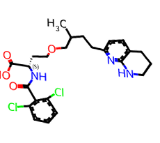 CC(CCc1ccc2c(n1)NCCC2)COCC[C@H](NC(=O)c1c(Cl)cccc1Cl)C(=O)O